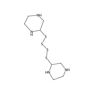 C1CNC(SSSSC2CNCCN2)CN1